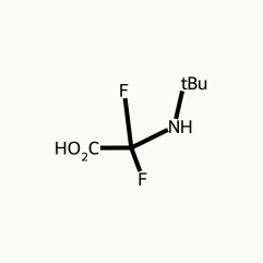 CC(C)(C)NC(F)(F)C(=O)O